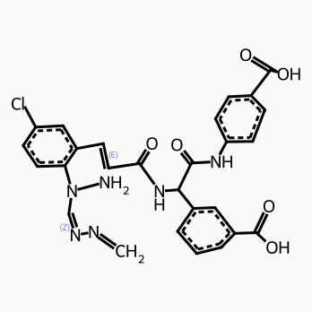 C=N/N=C\N(N)c1ccc(Cl)cc1/C=C/C(=O)NC(C(=O)Nc1ccc(C(=O)O)cc1)c1cccc(C(=O)O)c1